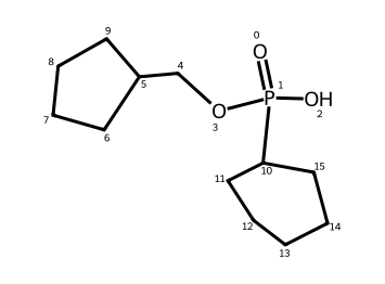 O=P(O)(OCC1CCCC1)C1CCCCC1